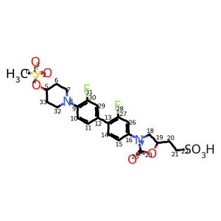 CS(=O)(=O)OC1CCN(c2ccc(-c3ccc(N4CC(CCS(=O)(=O)O)OC4=O)cc3F)cc2F)CC1